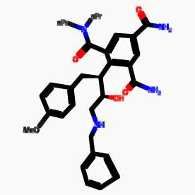 CCCN(CCC)C(=O)c1cc(C(N)=O)cc(C(N)=O)c1[C@H](Cc1ccc(OC)cc1)[C@@H](O)CNCc1ccccc1